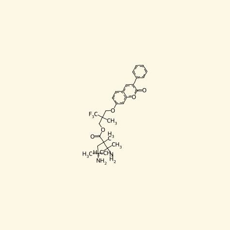 CC(C)(N)CC(C)(C(=O)OCC(C)(COc1ccc2cc(-c3ccccc3)c(=O)oc2c1)C(F)(F)F)C(C)(C)N